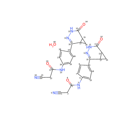 N#CCC(=O)Nc1ccc(C2=NNC(=O)C3CC23)cc1.N#CCC(=O)Nc1ccc(C2=NNC(=O)C3CC23)cc1.O